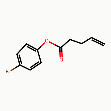 C=CCCC(=O)Oc1ccc(Br)cc1